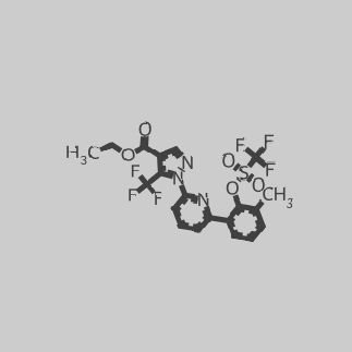 CCOC(=O)c1cnn(-c2cccc(-c3cccc(C)c3OS(=O)(=O)C(F)(F)F)n2)c1C(F)(F)F